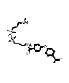 CNCCC[Si](C)(C)O[Si](C)(C)CCCNC(=O)c1ccc(Oc2ccc(C(C)=O)cc2)cc1